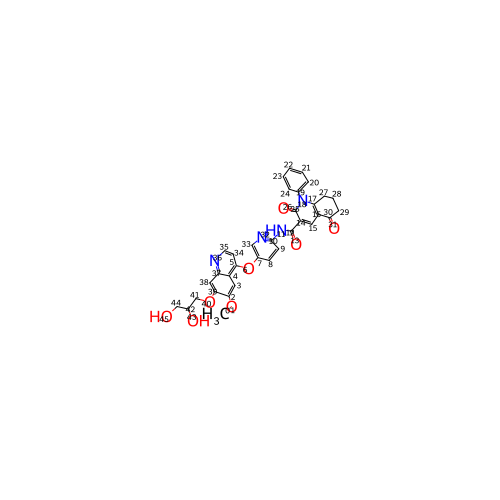 COc1cc2c(Oc3ccc(NC(=O)c4cc5c(n(-c6ccccc6)c4=O)CCCC5=O)nc3)ccnc2cc1OCC(O)CO